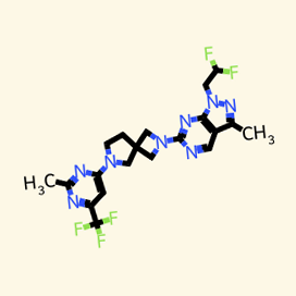 Cc1nc(N2CCC3(C2)CN(c2ncc4c(C)nn(CC(F)F)c4n2)C3)cc(C(F)(F)F)n1